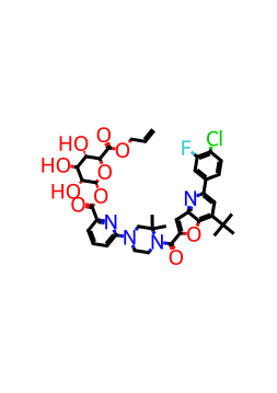 C=CCOC(=O)C1O[C@@H](OC(=O)c2cccc(N3CCN(C(=O)c4cc5nc(-c6ccc(Cl)c(F)c6)cc(C(C)(C)C)c5o4)C(C)(C)C3)n2)[C@@H](O)C(O)[C@@H]1O